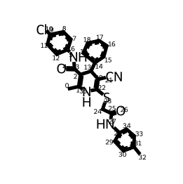 CC1=C(C(=O)Nc2ccc(Cl)cc2)C(c2ccccc2)C(C#N)=C(SCC(=O)Nc2ccc(C)cc2)N1